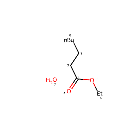 CCCCCCC(=O)OCC.O